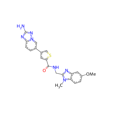 COc1ccc2c(c1)nc(CNC(=O)c1cc(-c3ccc4nc(N)nn4c3)cs1)n2C